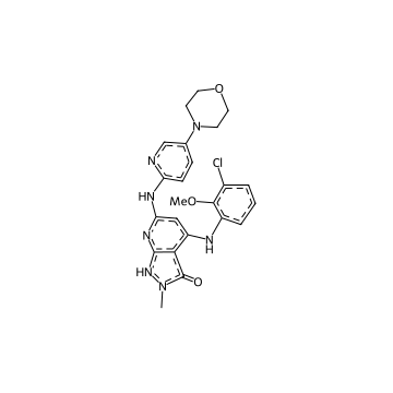 COc1c(Cl)cccc1Nc1cc(Nc2ccc(N3CCOCC3)cn2)nc2[nH]n(C)c(=O)c12